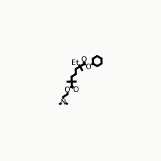 CCC(C)(CCCC(C)(C)C(=O)OCCN(C)C)C(=O)OC1CCCCC1